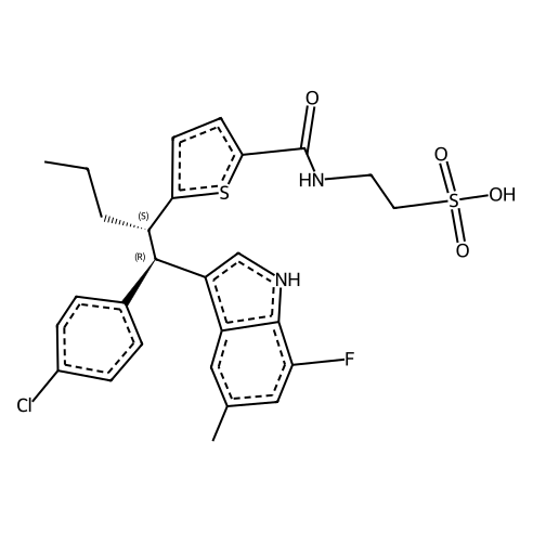 CCC[C@H](c1ccc(C(=O)NCCS(=O)(=O)O)s1)[C@H](c1ccc(Cl)cc1)c1c[nH]c2c(F)cc(C)cc12